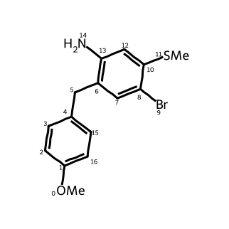 COc1ccc(Cc2cc(Br)c(SC)cc2N)cc1